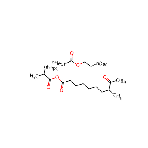 CCCCCCCC(C)C(=O)OC(=O)CCCCCCC(C)C(=O)OCC(C)C.CCCCCCCCCCCCOC(=O)CCCCCCC